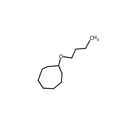 CCCCOC1CCCCCCC1